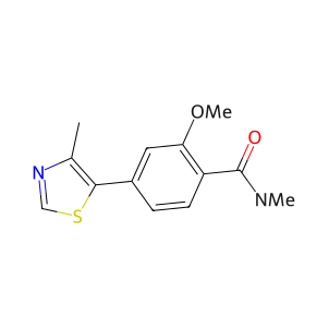 CNC(=O)c1ccc(-c2scnc2C)cc1OC